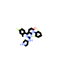 Cc1cc(F)ccc1-c1nc(NC2CCNCC2)nc2c1ccc(=O)n2-c1c(F)cccc1F